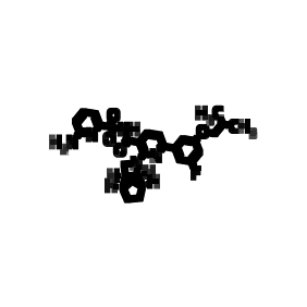 CC(C)COc1cc(F)cc(-c2ccc(C(=O)NS(=O)(=O)c3cccc(N)n3)c(N3C[C@@H]4[C@@H]5CC[C@@H](C5)[C@@H]43)n2)c1